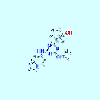 C/C(=N/c1nc(Nc2ccn3ccnc3c2)nc(C2=C(F)C(O)CCC2)n1)C(F)(F)F